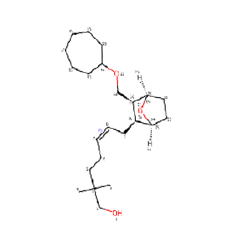 CC(C)(CO)CC/C=C\C[C@H]1[C@@H](COC2CCCCCC2)[C@H]2CC[C@@H]1O2